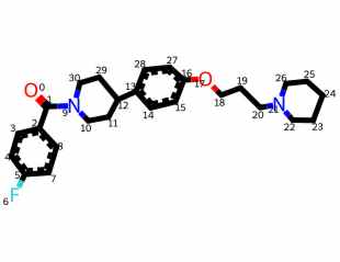 O=C(c1ccc(F)cc1)N1CCC(c2ccc(OCCCN3CCCCC3)cc2)CC1